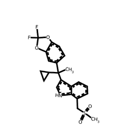 CC(c1ccc2c(c1)OC(F)(F)O2)(c1c[nH]c2c(CS(C)(=O)=O)cccc12)C1CC1